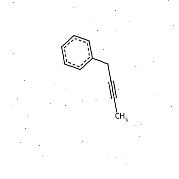 CC#CCc1c[c]ccc1